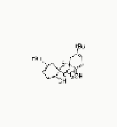 CC(C)(C)C1=CC=C(O)C(C)(SC2(C)CC(C(C)(C)C)=CC=C2O)C1